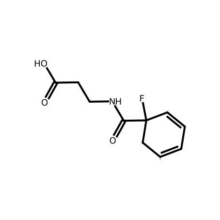 O=C(O)CCNC(=O)C1(F)C=CC=[C]C1